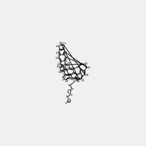 COCCOCCN1CC2C3=c4c5c6c7c(cc8cc9cc%10cc%11cc%12c%13c(c4c4c5c5c7c8c7c9c%10c8c%11c%13c4c8c75)=C(C3)C%12)CC62C1c1csc(-c2cccs2)c1